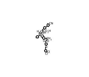 CC[C@@H](c1ccccc1)N1Cc2cc3c(cc2C[C@H]1C(=O)N[C@@](C)(Cc1ccc(-c2ccc(C#N)cc2)cc1)C(=O)O)N(C)C(=O)[C@@H](c1ccc(OCc2ccc(Cl)c(Cl)c2)cc1)O3